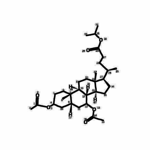 CC(=O)OC1CC[C@@]2(C)[C@@H](C1)CC(OC(C)=O)[C@@H]1[C@@H]2CC[C@]2(C)[C@@H]([C@H](C)CCC(=O)OC(C)C)CC[C@@H]12